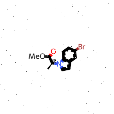 COC(=O)[C@H](C)n1ccc2cc(Br)ccc21